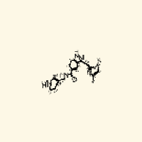 Cc1c[nH]c(-c2n[nH]c3ccc(C(=O)NCC4CCNC4)cc23)n1